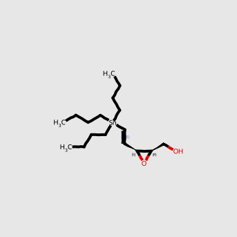 CCC[CH2][Sn](/[CH]=C/[C@@H]1O[C@@H]1CO)([CH2]CCC)[CH2]CCC